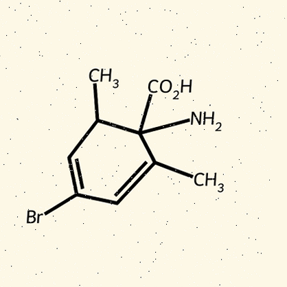 CC1=CC(Br)=CC(C)C1(N)C(=O)O